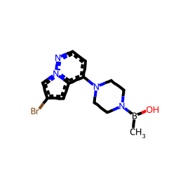 CB(O)N1CCN(c2ccnn3cc(Br)cc23)CC1